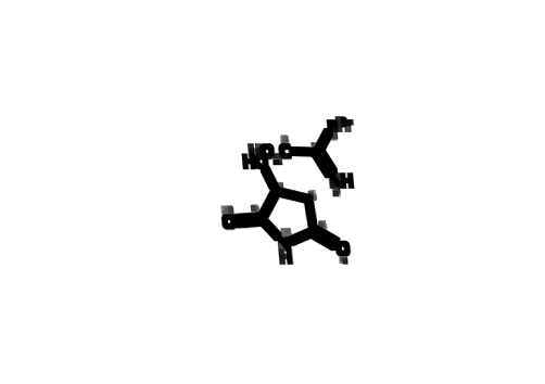 CCCC(=N)C(=O)O.O=C1CC(O)C(=O)N1